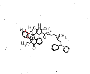 CC1=C(C(=O)OCCN(C)CCC(c2ccccc2)c2ccccc2)C(c2cccc3c(=O)c(C)c(-c4ccccc4)oc23)C(C(=O)OC(C)C)=C(C)N1